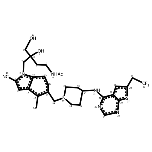 CC(=O)NCCC(O)(CO)Cn1c(C#N)cc2c(C)c(CN3CCC(Nc4ncnc5sc(CC(F)(F)F)cc45)CC3)ccc21